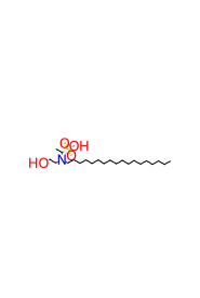 CCCCCCCCCCCCCCCCCCN(CCO)C(C)S(=O)(=O)O